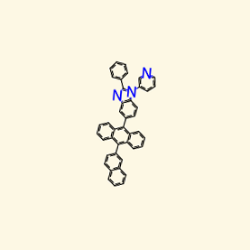 c1ccc(-c2nc3cc(-c4c5ccccc5c(-c5ccc6ccccc6c5)c5ccccc45)ccc3n2-c2cccnc2)cc1